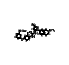 CC(=O)Nc1cc(Oc2ccc(NC(=O)Nc3cc(C(C)C)nn3-c3ccc4c(c3)CN(C)CC4)c(F)c2)ccn1